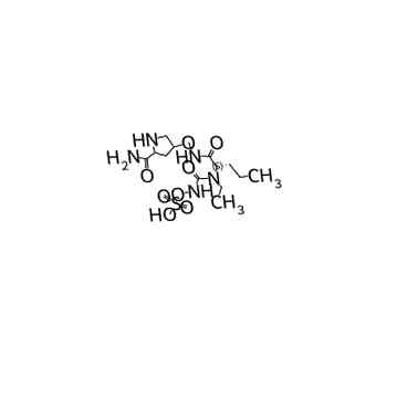 CCC[C@@H](C(=O)NOC1CNC(C(N)=O)C1)N(CC)C(=O)NOS(=O)(=O)O